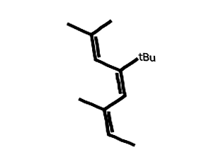 C/C=C(C)\C=C(/C=C(C)C)C(C)(C)C